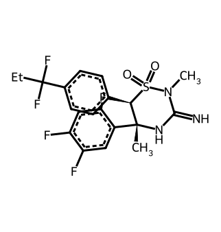 CCC(F)(F)c1ccc([C@@H]2[C@@](C)(c3cc(F)c(F)cc3F)NC(=N)N(C)S2(=O)=O)cc1